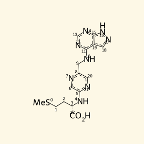 CSCC[C@H](Nc1cnc(CNc2ncnc3[nH]ncc23)cn1)C(=O)O